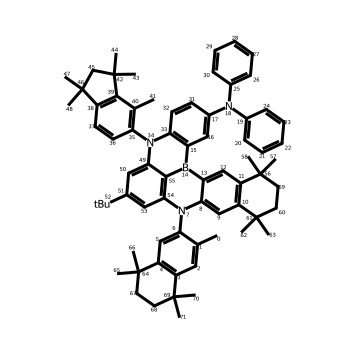 Cc1cc2c(cc1N1c3cc4c(cc3B3c5cc(N(c6ccccc6)c6ccccc6)ccc5N(c5ccc6c(c5C)C(C)(C)CC6(C)C)c5cc(C(C)(C)C)cc1c53)C(C)(C)CCC4(C)C)C(C)(C)CCC2(C)C